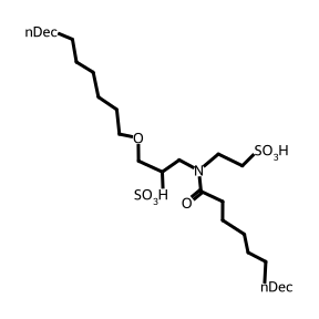 CCCCCCCCCCCCCCCCOCC(CN(CCS(=O)(=O)O)C(=O)CCCCCCCCCCCCCCC)S(=O)(=O)O